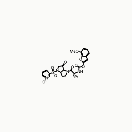 CCCC(NC(=O)Oc1cc2cccc(OC)c2o1)C(=O)N1CCC2C1C(=O)CN2S(=O)(=O)c1ccc[n+]([O-])c1